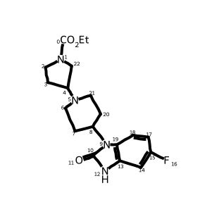 CCOC(=O)N1CCC(N2CCC(n3c(=O)[nH]c4cc(F)ccc43)CC2)C1